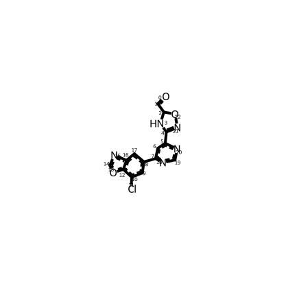 O=CC1NC(c2cc(-c3cc(Cl)c4ocnc4c3)ncn2)=NO1